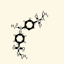 COS(=O)(=O)c1ccc([SH](C)c2ccc(S(=O)(=O)OC)cc2)cc1